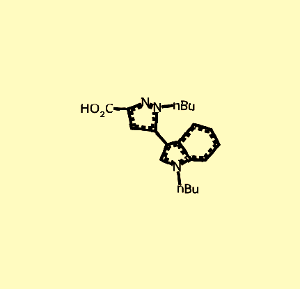 CCCCn1nc(C(=O)O)cc1-c1cn(CCCC)c2ccccc12